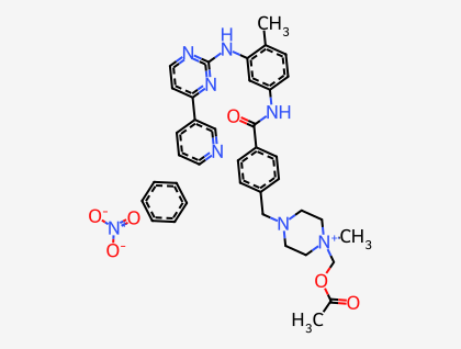 CC(=O)OC[N+]1(C)CCN(Cc2ccc(C(=O)Nc3ccc(C)c(Nc4nccc(-c5cccnc5)n4)c3)cc2)CC1.O=[N+]([O-])[O-].c1ccccc1